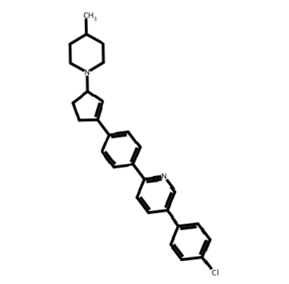 CC1CCN(C2C=C(c3ccc(-c4ccc(-c5ccc(Cl)cc5)cn4)cc3)CC2)CC1